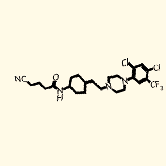 N#CCCCC(=O)NC1CCC(CCN2CCN(c3cc(C(F)(F)F)c(Cl)cc3Cl)CC2)CC1